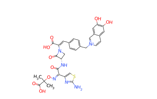 CC(C)(O/N=C(\C(=O)N[C@H]1CN(/C(=C\c2ccc(C[n+]3ccc4cc(O)c(O)cc4c3)cc2)C(=O)O)C1=O)c1csc(N)n1)C(=O)O